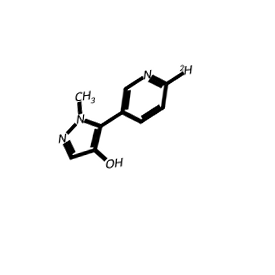 [2H]c1ccc(-c2c(O)cnn2C)cn1